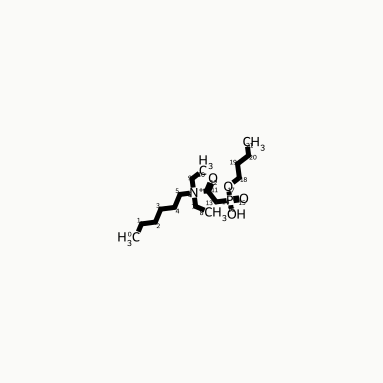 CCCCCC[N+](CC)(CC)C(=O)CP(=O)(O)OCCCC